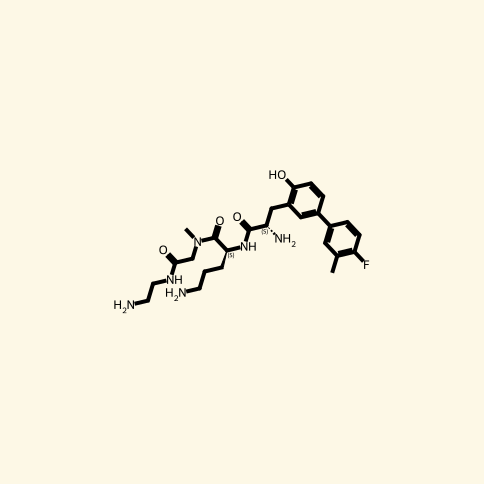 Cc1cc(-c2ccc(O)c(C[C@H](N)C(=O)N[C@@H](CCCN)C(=O)N(C)CC(=O)NCCN)c2)ccc1F